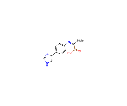 CNC(=Nc1ccc(-c2c[nH]cn2)cc1)S(=O)O